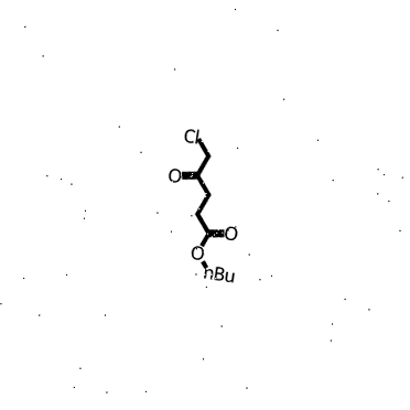 CCCCOC(=O)CCC(=O)CCl